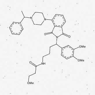 COCCC(=O)NCCCC(c1ccc(OC)c(OC)c1)N1C(=O)c2cccc(N3CCN(C(C)c4ccccc4)CC3)c2C1=O